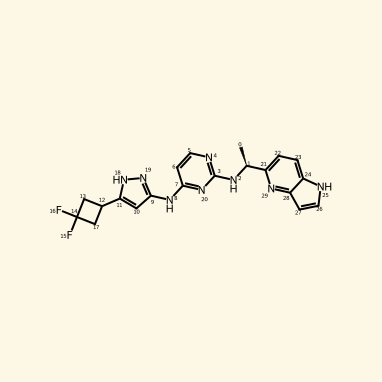 C[C@H](Nc1nccc(Nc2cc(C3CC(F)(F)C3)[nH]n2)n1)c1ccc2[nH]ccc2n1